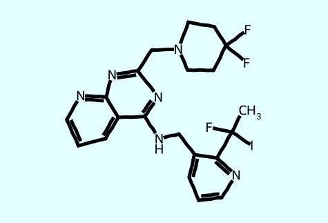 CC(F)(I)c1ncccc1CNc1nc(CN2CCC(F)(F)CC2)nc2ncccc12